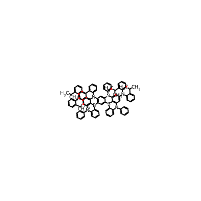 CC(C)c1ccccc1N(c1cc2c3c(c1)N(c1ccccc1)c1cc4c(cc1B3c1ccccc1N2c1ccccc1)B1c2ccccc2N(c2ccccc2)c2cc(N(c3ccccc3C(C)C)c3ccccc3C(C)C)cc(c21)N4c1ccccc1-c1ccccc1)c1ccccc1C(C)C